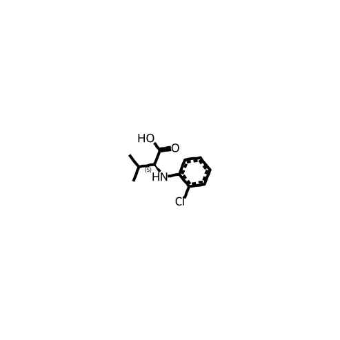 CC(C)[C@H](Nc1ccccc1Cl)C(=O)O